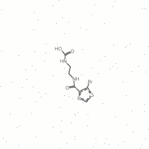 O=C(O)NCCNC(=O)c1ncsc1Br